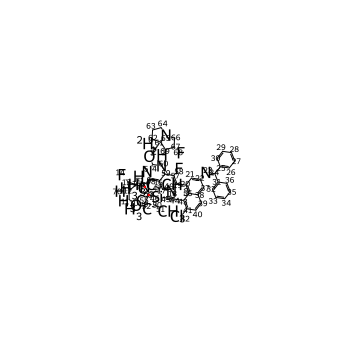 [2H]C([2H])(Oc1nc(N2CCOC[C@H]3[C@H](F)[C@H]32)c2cnc(-c3cc(N=C(c4ccccc4)c4ccccc4)cc4ccc(Cl)c(C#C[Si](C(C)C)(C(C)C)C(C)C)c34)c(F)c2n1)[C@@]12CCCN1C[C@H](F)C2